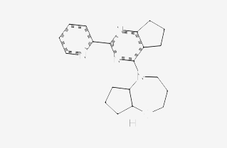 c1ccc(-c2nc3c(c(N4CCCO[C@H]5CCCC54)n2)CCC3)nc1